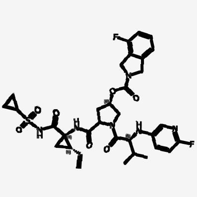 C=C[C@@H]1C[C@]1(NC(=O)C1C[C@@H](OC(=O)N2Cc3cccc(F)c3C2)CN1C(=O)[C@@H](Nc1ccc(F)nc1)C(C)C)C(=O)NS(=O)(=O)C1CC1